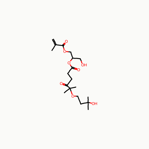 C=C(C)C(=O)OCC(CO)OC(=O)CCC(=O)C(C)(C)OCCC(C)(C)O